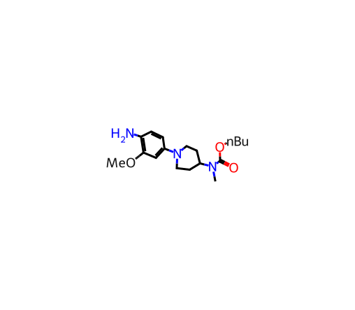 CCCCOC(=O)N(C)C1CCN(c2ccc(N)c(OC)c2)CC1